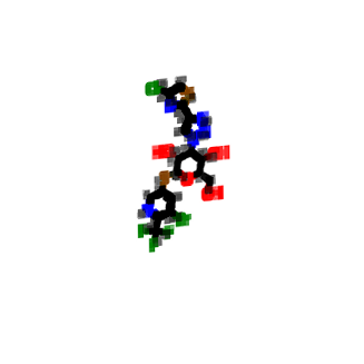 OC[C@H]1O[C@H](Sc2cnc(C(F)(F)F)c(Br)c2)[C@H](O)[C@@H](n2cc(-c3nc(Cl)cs3)nn2)[C@H]1O